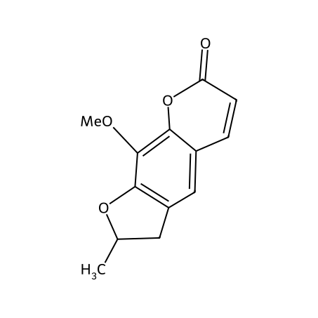 COc1c2c(cc3ccc(=O)oc13)CC(C)O2